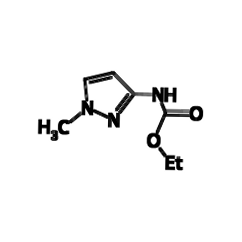 CCOC(=O)Nc1ccn(C)n1